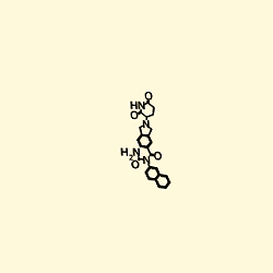 NC(=O)N(C(=O)c1ccc2c(c1)CN(C1CCC(=O)NC1=O)C2)c1ccc2ccccc2c1